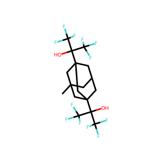 CC12CC3CC(C(O)(C(F)(F)F)C(F)(F)F)(C1)CC(C(O)(C(F)(F)F)C(F)(F)F)(C3)C2